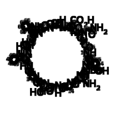 CCCC[C@H]1C(=O)N[C@@H](CC(N)=O)C(=O)N2CCC[C@H]2C(=O)N[C@@H](CO)C(=O)N[C@@H](CCO)C(=O)N2CCC[C@H]2C(=O)N[C@@H](Cc2c[nH]c3ccccc23)C(=O)N[C@@H](CO)C(=O)N[C@@H](Cc2c[nH]c3ccccc23)C(=O)N(C)[C@@H](C)C(=O)N(C)[C@@H](C)C(=O)N[C@@H](CCC(=O)O)C(=O)NC(C(=O)NCC(N)=O)CSCC(=O)N[C@@H](Cc2ccc(O)cc2)C(=O)N1C